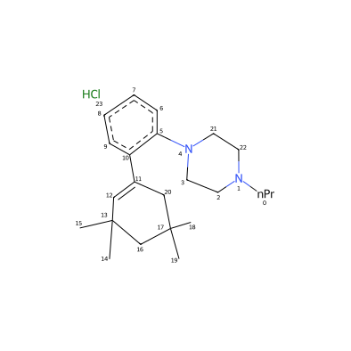 CCCN1CCN(c2ccccc2C2=CC(C)(C)CC(C)(C)C2)CC1.Cl